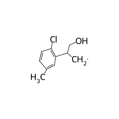 [CH2]C(CO)c1cc(C)ccc1Cl